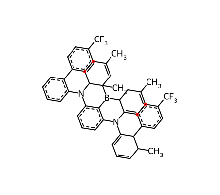 CC1=CC2(C)B3c4c(cccc4N(c4ccccc4-c4ccc(C(F)(F)F)cc4)C2C=C1)N(C1=CC=CC(C)C1c1ccc(C(F)(F)F)cc1)C1=CC=C(C)CC31